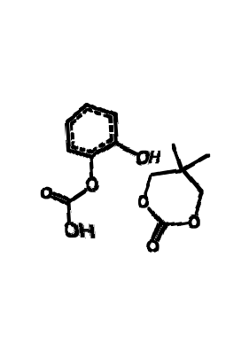 CC1(C)COC(=O)OC1.O=C(O)Oc1ccccc1O